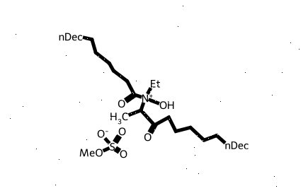 CCCCCCCCCCCCCCCC(=O)C(C)[N+](O)(CC)C(=O)CCCCCCCCCCCCCCC.COS(=O)(=O)[O-]